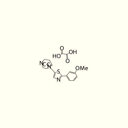 COc1cccc(-c2ncc(N3CCN4CCC3CC4)s2)c1.O=C(O)C(=O)O